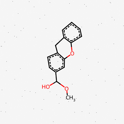 COC(O)c1ccc2c(c1)Oc1ccccc1C2